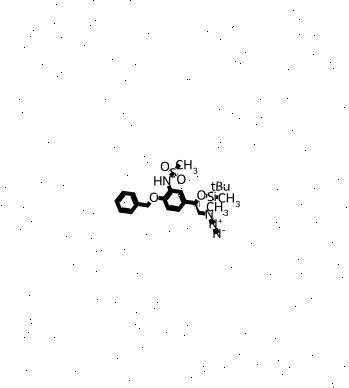 CC(C)(C)[Si](C)(C)O[C@@H](CN=[N+]=[N-])c1ccc(OCc2ccccc2)c(NS(C)(=O)=O)c1